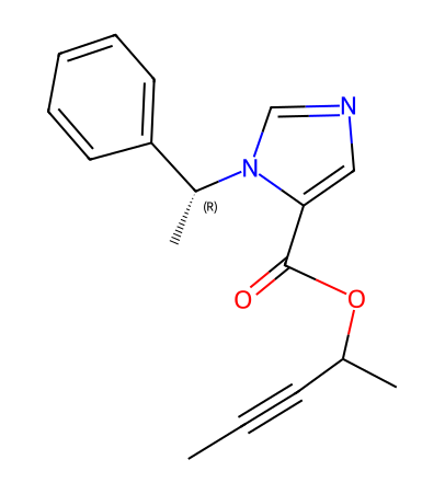 CC#CC(C)OC(=O)c1cncn1[C@H](C)c1ccccc1